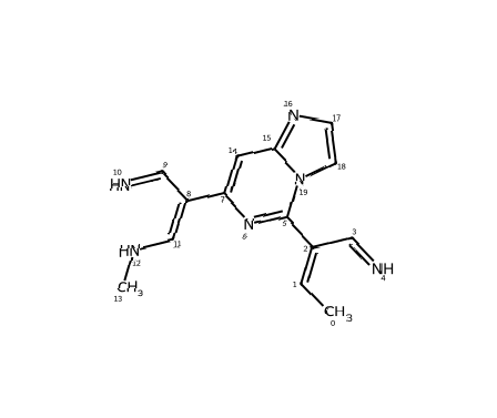 C/C=C(\C=N)c1nc(/C(C=N)=C/NC)cc2nccn12